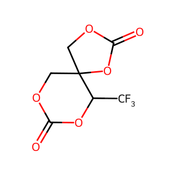 O=C1OCC2(COC(=O)O2)C(C(F)(F)F)O1